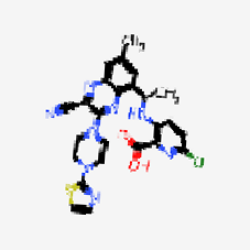 Cc1cc([C@@H](C)Nc2ccc(Cl)nc2C(=O)O)c2nc(N3CCN(c4nccs4)CC3)c(C#N)nc2c1